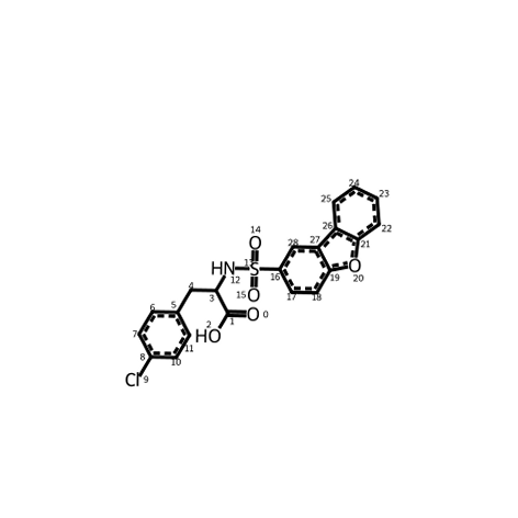 O=C(O)C(Cc1ccc(Cl)cc1)NS(=O)(=O)c1ccc2oc3ccccc3c2c1